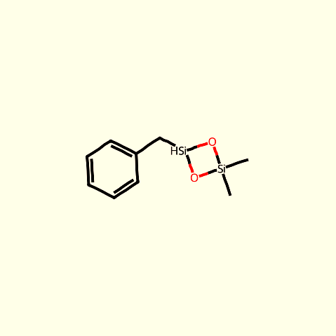 C[Si]1(C)O[SiH](Cc2ccccc2)O1